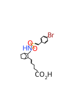 O=C(O)CCCC=CC1C2CCC(C2)C1CNS(=O)(=O)C=Cc1ccc(Br)cc1